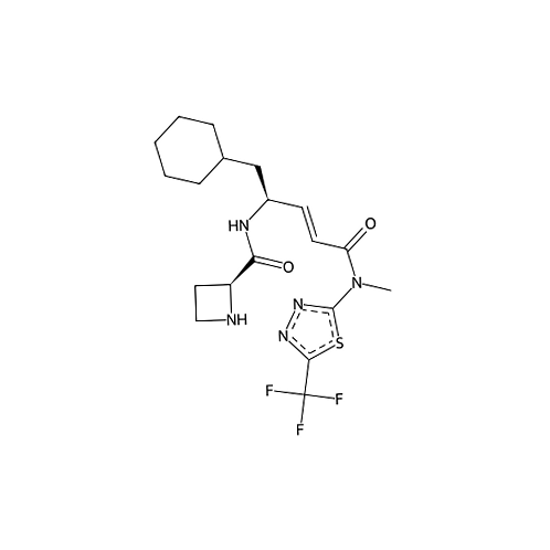 CN(C(=O)/C=C/[C@H](CC1CCCCC1)NC(=O)[C@@H]1CCN1)c1nnc(C(F)(F)F)s1